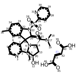 COc1ncccc1C1(N2C[C@H](O)C[C@H]2C(=O)N(C)C)C(=O)N(S(=O)(=O)c2ccccn2)c2ccc(C)cc21.O=C(O)/C=C/C(=O)O